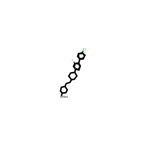 CCCCCCC1CCC(CCC2CCC(c3ccc(-c4ccc(Cl)cc4)c(F)c3)CC2)CC1